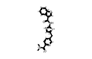 CN(C)C(=O)c1ccc(Cc2cnc(NC(=O)c3coc4ccccc34)s2)cn1